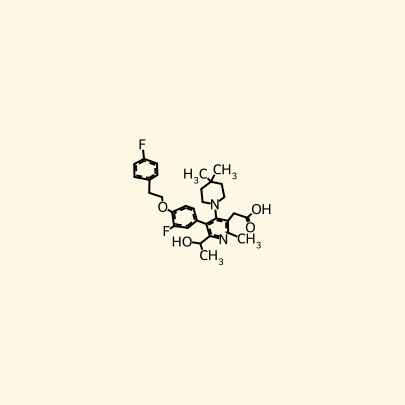 Cc1nc(C(C)O)c(-c2ccc(OCCc3ccc(F)cc3)c(F)c2)c(N2CCC(C)(C)CC2)c1CC(=O)O